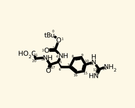 CC(C)(C)OC(=O)N[C@@H](Cc1ccc(NC(=N)N)cc1)C(=O)NCC(=O)O